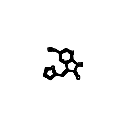 CC(C)(C)c1cnc2c(c1)/C(=C\c1ccco1)C(=O)N2